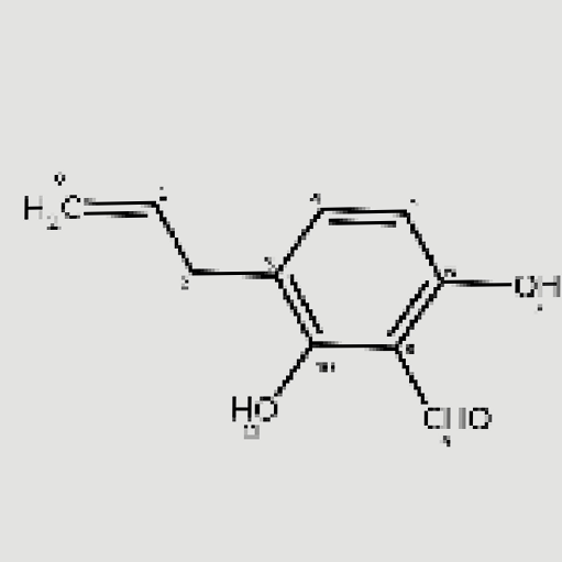 C=CCc1ccc(O)c(C=O)c1O